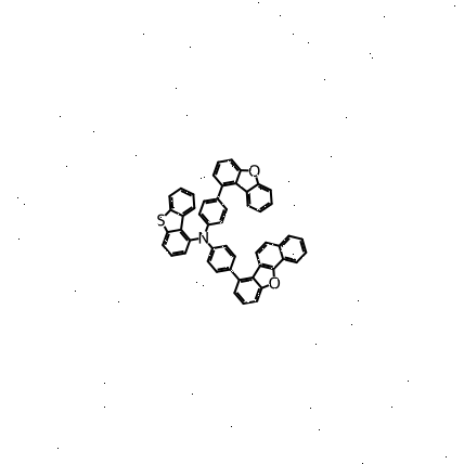 c1ccc2c(c1)ccc1c2oc2cccc(-c3ccc(N(c4ccc(-c5cccc6oc7ccccc7c56)cc4)c4cccc5sc6ccccc6c45)cc3)c21